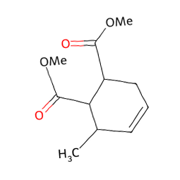 COC(=O)C1CC=CC(C)C1C(=O)OC